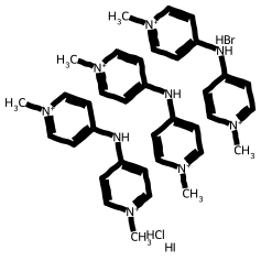 Br.C[n+]1ccc(Nc2cc[n+](C)cc2)cc1.C[n+]1ccc(Nc2cc[n+](C)cc2)cc1.C[n+]1ccc(Nc2cc[n+](C)cc2)cc1.Cl.I